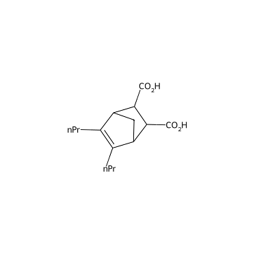 CCCC1=C(CCC)C2CC1C(C(=O)O)C2C(=O)O